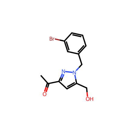 CC(=O)c1cc(CO)n(Cc2cccc(Br)c2)n1